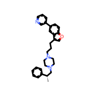 C[C@@H](CN1CCN(CCCc2coc3ccc(-c4cccnc4)cc23)CC1)c1ccccc1